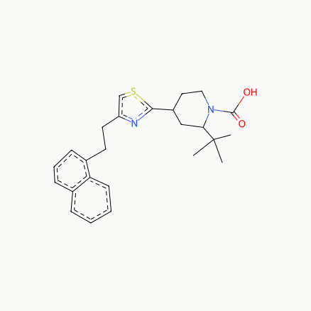 CC(C)(C)C1CC(c2nc(CCc3cccc4ccccc34)cs2)CCN1C(=O)O